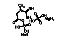 CN(CC(=O)OP(=O)(O)O)C(=N)N.O=S(=O)(O)O.[MgH2].[NaH]